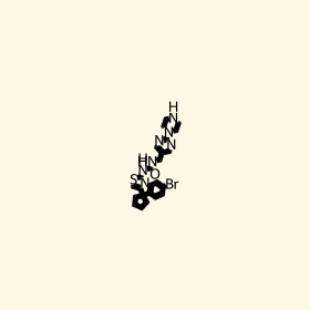 O=C(NCc1cnc(N2CCNCC2)nc1)Nc1nc(C2(c3ccc(Br)cc3)CCCC2)cs1